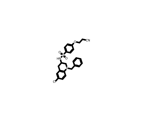 N#CCCOc1ccc(S(=O)(=O)NC2Cc3cc(Cl)ccc3N(Cc3ccccc3)C2)cc1